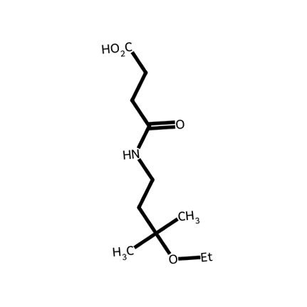 CCOC(C)(C)CCNC(=O)CCC(=O)O